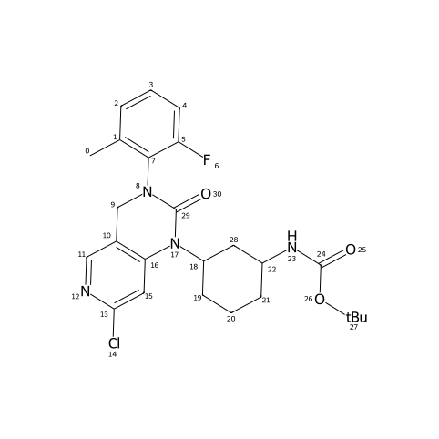 Cc1cccc(F)c1N1Cc2cnc(Cl)cc2N(C2CCCC(NC(=O)OC(C)(C)C)C2)C1=O